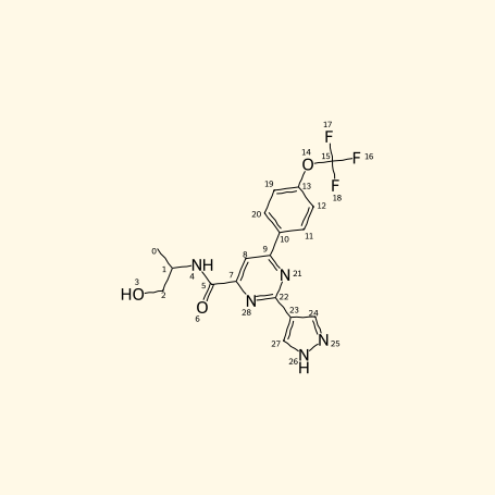 CC(CO)NC(=O)c1cc(-c2ccc(OC(F)(F)F)cc2)nc(-c2cn[nH]c2)n1